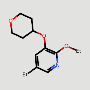 CCOc1ncc(CC)cc1OC1CCOCC1